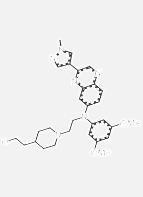 COc1cc(OC)cc(N(CCN2CCC(CCO)CC2)c2ccc3ncc(-c4cnn(C)c4)nc3c2)c1